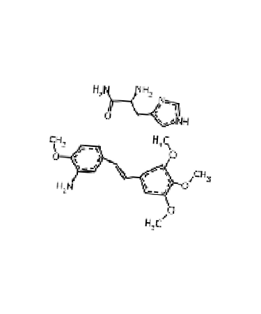 COc1ccc(C=Cc2cc(OC)c(OC)c(OC)c2)cc1N.NC(=O)[C@@H](N)Cc1c[nH]cn1